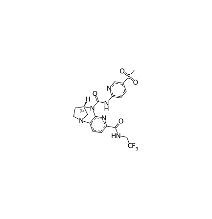 CS(=O)(=O)c1ccc(NC(=O)N2c3nc(C(=O)NCC(F)(F)F)ccc3N3CC[C@H]2C3)nc1